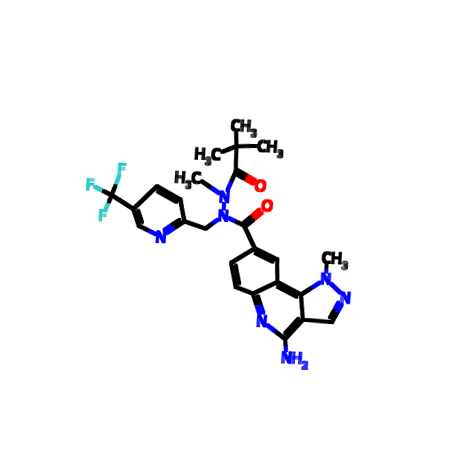 CN(C(=O)C(C)(C)C)N(Cc1ccc(C(F)(F)F)cn1)C(=O)c1ccc2nc(N)c3cnn(C)c3c2c1